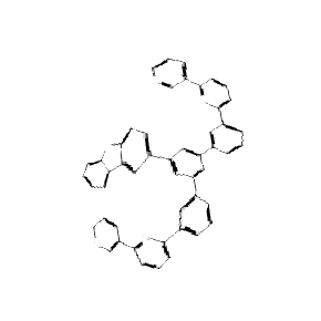 C1=CC(c2cccc(-c3cccc(-c4cc(-c5cccc(-c6cccc(-c7cccnc7)n6)c5)cc(-c5ccc6oc7ccccc7c6c5)c4)c3)n2)=CNC1